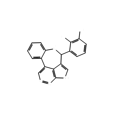 Oc1cccc(C2Nc3ccccc3-c3cnnc4[nH]cc2c34)c1O